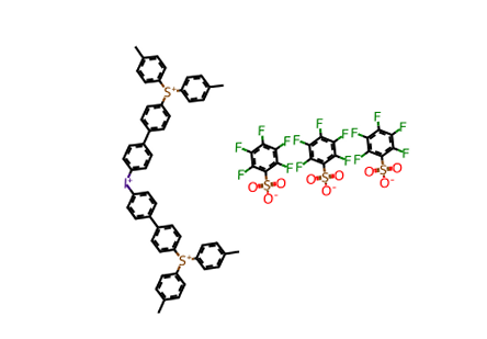 Cc1ccc([S+](c2ccc(C)cc2)c2ccc(-c3ccc([I+]c4ccc(-c5ccc([S+](c6ccc(C)cc6)c6ccc(C)cc6)cc5)cc4)cc3)cc2)cc1.O=S(=O)([O-])c1c(F)c(F)c(F)c(F)c1F.O=S(=O)([O-])c1c(F)c(F)c(F)c(F)c1F.O=S(=O)([O-])c1c(F)c(F)c(F)c(F)c1F